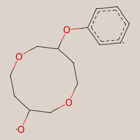 [O]C1CCOCC(Oc2c[c]ccc2)CCOC1